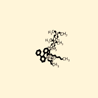 CCCCCCCCc1ccccc1-c1c(-c2ccccc2)cccc1[Si](CCCC)(CCCC)OB([O-])[O-].CC[N+](CC)(CC)CC.CC[N+](CC)(CC)CC